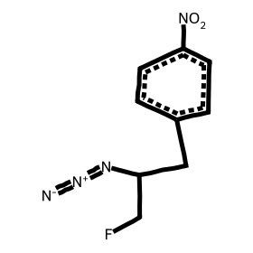 [N-]=[N+]=NC(CF)Cc1ccc([N+](=O)[O-])cc1